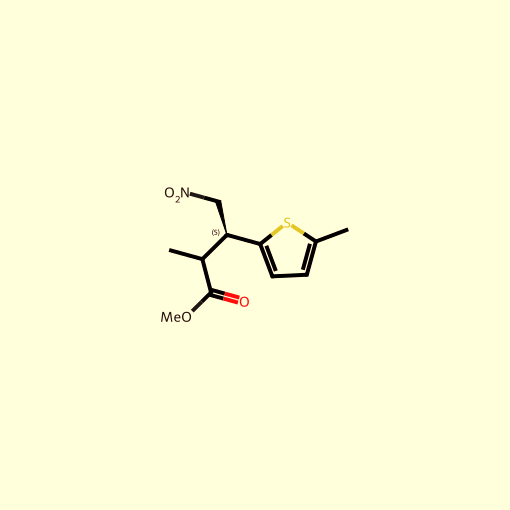 COC(=O)C(C)[C@@H](C[N+](=O)[O-])c1ccc(C)s1